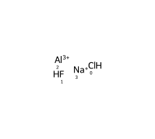 Cl.F.[Al+3].[Na+]